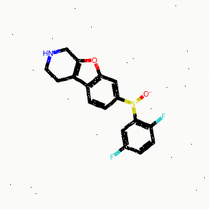 [O-][S+](c1ccc2c3c(oc2c1)CNCC3)c1cc(F)ccc1F